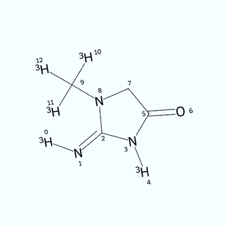 [3H]N=C1N([3H])C(=O)CN1C([3H])([3H])[3H]